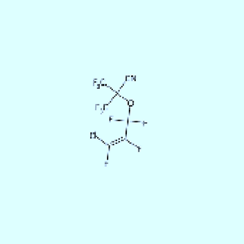 N#CC(OC(F)(F)C(F)=C(F)Cl)(C(F)(F)F)C(F)(F)F